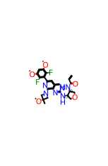 C=CC(=O)N[C@H]1COC[C@H]1Nc1ncc2cc(-c3c(F)c(OC)cc(OC)c3F)nc(N3CC(C)(OC)C3)c2n1